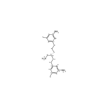 Cc1cc(N)nc(CCC[C@@H](CN)CCc2cc(C)cc(N)n2)c1